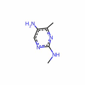 CNc1ncc(N)c(C)n1